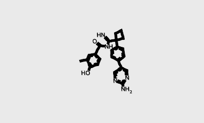 Cc1cc(C(=O)NC(=N)C2(c3ccc(-c4cnc(N)nc4)cc3)CCC2)ccc1O